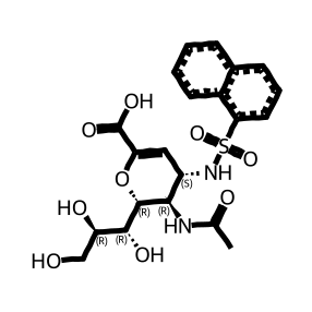 CC(=O)N[C@H]1[C@H]([C@H](O)[C@H](O)CO)OC(C(=O)O)=C[C@@H]1NS(=O)(=O)c1cccc2ccccc12